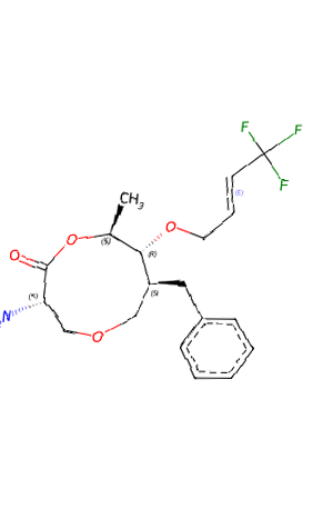 C[C@@H]1OC(=O)[C@@H](N)COC[C@H](Cc2ccccc2)[C@H]1OC/C=C/C(F)(F)F